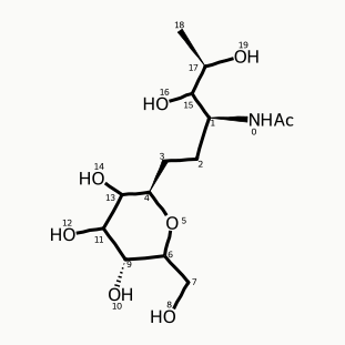 CC(=O)N[C@@H](CC[C@H]1OC(CO)[C@H](O)C(O)C1O)C(O)[C@@H](C)O